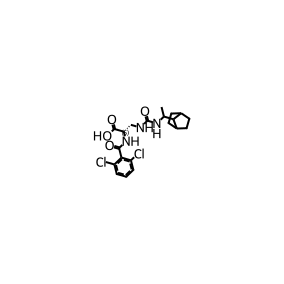 CC(NC(=O)NC[C@H](NC(=O)c1c(Cl)cccc1Cl)C(=O)O)C1C2CCC1CC2